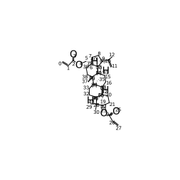 C=CC(=O)OC[C@]12CC[C@@H](C(=C)C)[C@@H]1[C@H]1CC[C@@H]3[C@@]4(C)CC[C@H](OC(=O)C=C)C(C)(C)[C@@H]4CC[C@@]3(C)[C@]1(C)CC2